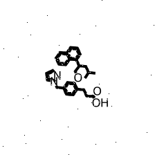 CC(C)CC(COc1cc(Cn2cccn2)ccc1CCC(=O)O)c1cccc2ccccc12